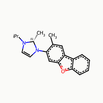 Cc1cc2c(cc1N1C=CN(C(C)C)[C@@H]1C)oc1ccccc12